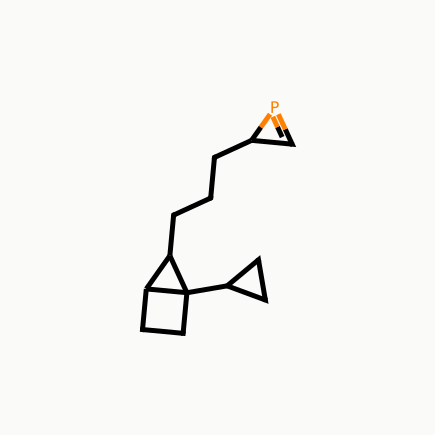 C1=PC1CCCC1C2CCC12C1CC1